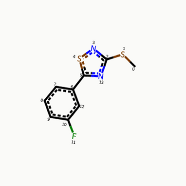 CSc1nsc(-c2cccc(F)c2)n1